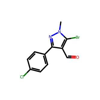 Cn1nc(-c2ccc(Cl)cc2)c(C=O)c1Br